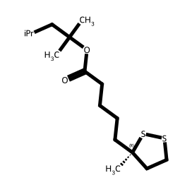 CC(C)CC(C)(C)OC(=O)CCCC[C@]1(C)CCSS1